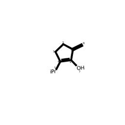 C=C1CCC(C(C)C)=C1O